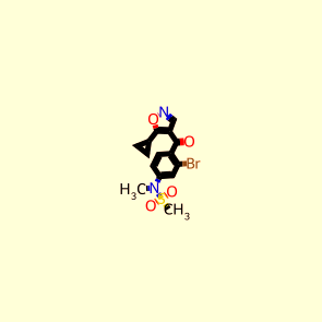 CN(c1ccc(C(=O)c2cnoc2C2CC2)c(Br)c1)S(C)(=O)=O